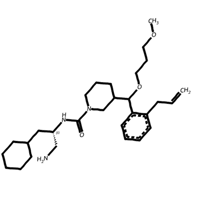 C=CCc1ccccc1C(OCCCOC)C1CCCN(C(=O)N[C@H](CN)CC2CCCCC2)C1